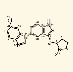 CN1CCCC1Cc1c[nH]c2ccc(-n3cnc4ccc(Cl)cc43)cc12